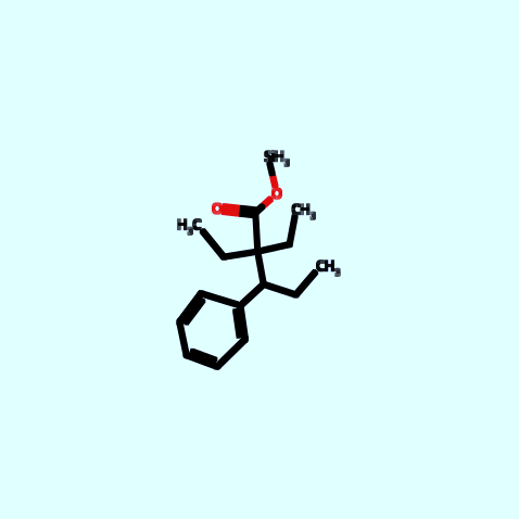 CCC(c1ccccc1)C(CC)(CC)C(=O)O[SiH3]